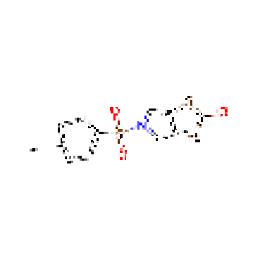 Cc1ccc(S(=O)(=O)n2cc3sc(=O)sc3c2)cc1